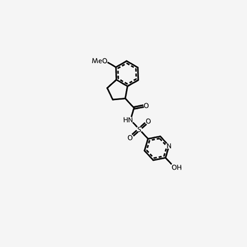 COc1cccc2c1CCC2C(=O)NS(=O)(=O)c1ccc(O)nc1